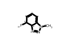 CN1N=NC2C1=CC=CC2F